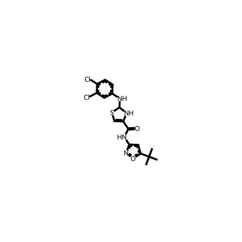 CC(C)(C)c1cc(NC(=O)C2=CSC(Nc3ccc(Cl)c(Cl)c3)N2)no1